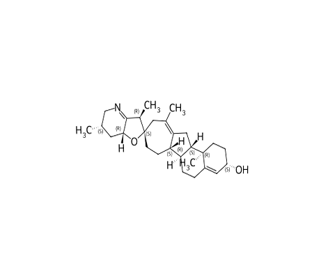 CC1=C2C[C@H]3[C@@H](CCC4=C[C@@H](O)CC[C@@]43C)[C@@H]2CC[C@@]2(C1)O[C@@H]1C[C@H](C)CN=C1[C@H]2C